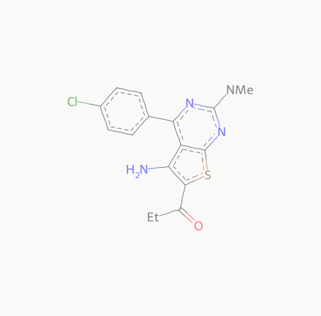 CCC(=O)c1sc2nc(NC)nc(-c3ccc(Cl)cc3)c2c1N